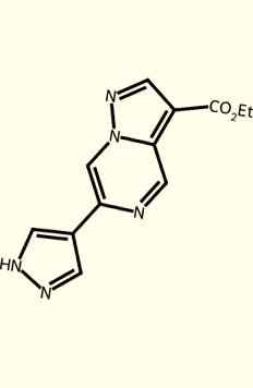 CCOC(=O)c1cnn2cc(-c3cn[nH]c3)ncc12